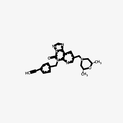 C#Cc1ccc(Cn2c(=O)n3ncnc3c3cc(CN4C[C@@H](C)O[C@@H](C)C4)cnc32)cc1